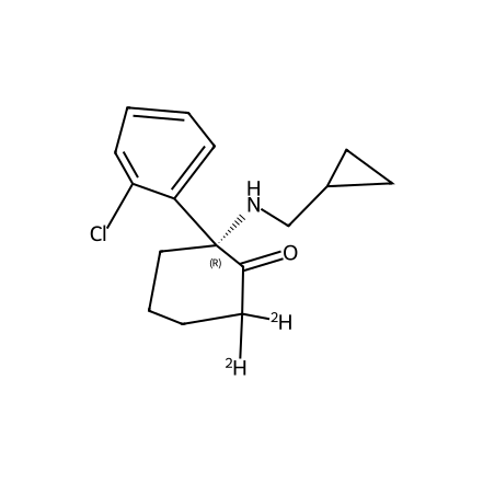 [2H]C1([2H])CCC[C@@](NCC2CC2)(c2ccccc2Cl)C1=O